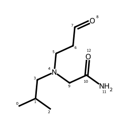 CC(C)CN(CCC=O)CC(N)=O